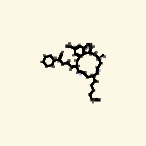 CC(=O)NCCCO[C@@H]1/C=C/C[C@@H](C)OC(=O)c2c(O)cc(O)cc2CC(=NOCC(=O)N2CCCCC2)/C=C/C1